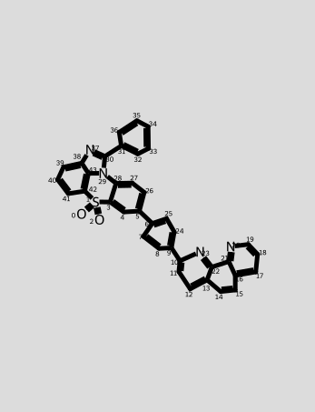 O=S1(=O)c2cc(-c3ccc(-c4ccc5ccc6cccnc6c5n4)cc3)ccc2-n2c(-c3ccccc3)nc3cccc1c32